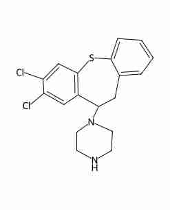 Clc1cc2c(cc1Cl)C(N1CCNCC1)Cc1ccccc1S2